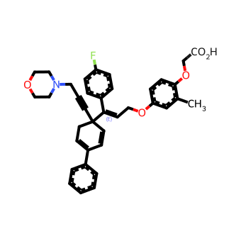 Cc1cc(OC/C=C(\c2ccc(F)cc2)C2(C#CCN3CCOCC3)C=CC(c3ccccc3)=CC2)ccc1OCC(=O)O